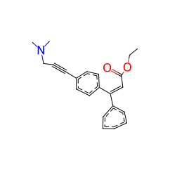 CCOC(=O)C=C(c1ccccc1)c1ccc(C#CCN(C)C)cc1